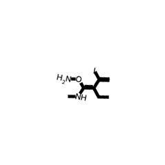 C=C(I)/C(CC)=C(/NC)ON